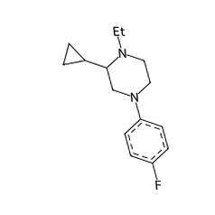 CCN1CCN(c2ccc(F)cc2)CC1C1CC1